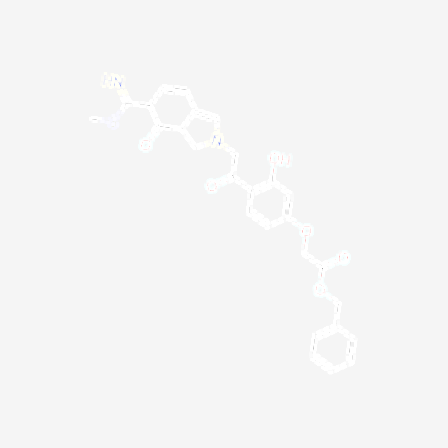 CSC(=N)C1C=CC2=CN(CC(=O)c3ccc(OCC(=O)OCc4ccccc4)cc3O)CC2C1=O